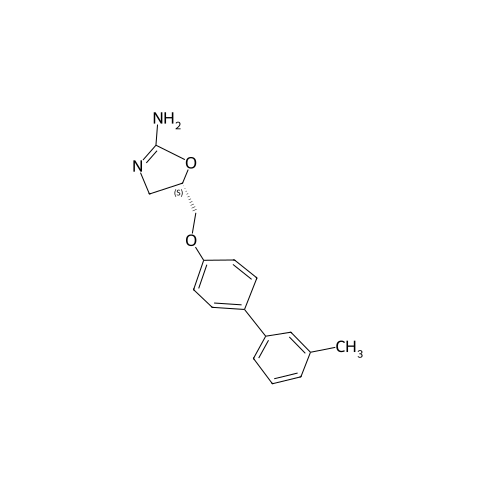 Cc1cccc(-c2ccc(OC[C@@H]3CN=C(N)O3)cc2)c1